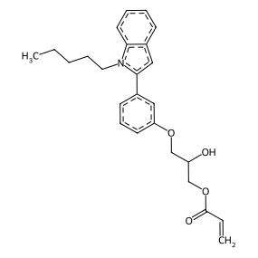 C=CC(=O)OCC(O)COc1cccc(-c2cc3ccccc3n2CCCCC)c1